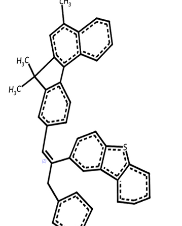 Cc1cc2c(c3ccccc13)-c1ccc(/C=C(/Cc3ccccc3)c3ccc4sc5ccccc5c4c3)cc1C2(C)C